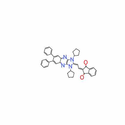 O=C1C(=CC=C2N(C3CCCC3)c3nc4cc(-c5ccccc5)c(-c5ccccc5)cc4nc3N2C2CCCC2)C(=O)c2ccccc21